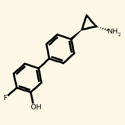 N[C@H]1C[C@@H]1c1ccc(-c2ccc(F)c(O)c2)cc1